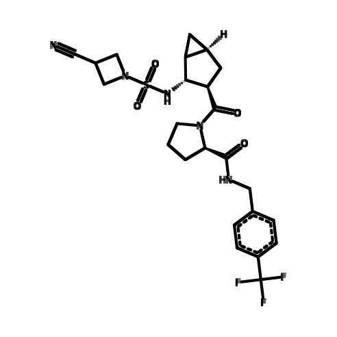 N#CC1CN(S(=O)(=O)N[C@@H]2C3C[C@H]3C[C@H]2C(=O)N2CCC[C@@H]2C(=O)NCc2ccc(C(F)(F)F)cc2)C1